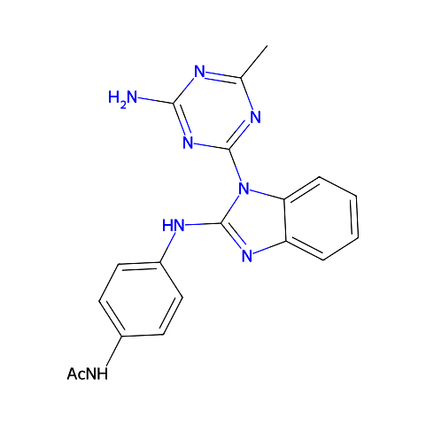 CC(=O)Nc1ccc(Nc2nc3ccccc3n2-c2nc(C)nc(N)n2)cc1